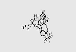 CC(=O)O[C@H]1[C@H]2[C@@H]3CC[C@H](C(C)=O)[C@@]3(C)CC[C@@H]2[C@@]2(C)CCC(=O)C=C2[C@H]1C